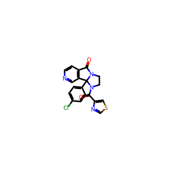 O=C(c1cscn1)N1CCN2C(=O)c3ccncc3C12c1ccc(Cl)cc1